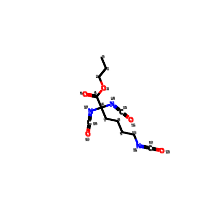 CCCOC(=O)C(CCCCN=C=O)(N=C=O)N=C=O